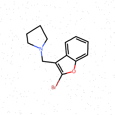 Brc1oc2ccccc2c1CN1CCCC1